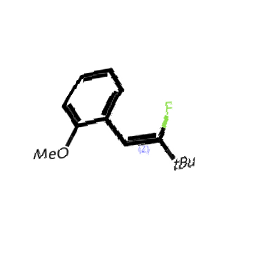 COc1ccccc1/C=C(\F)C(C)(C)C